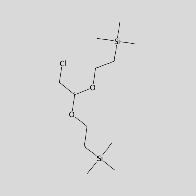 C[Si](C)(C)CCO[C](CCl)OCC[Si](C)(C)C